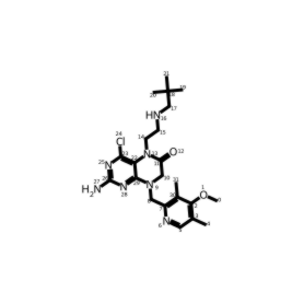 COc1c(C)cnc(CN2CC(=O)N(CCNCC(C)(C)C)c3c(Cl)nc(N)nc32)c1C